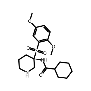 COc1ccc(OC)c(S(=O)(=O)[C@@]2(NC(=O)C3CCCCC3)CCCNC2)c1